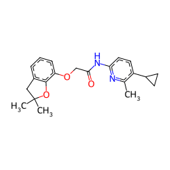 Cc1nc(NC(=O)COc2cccc3c2OC(C)(C)C3)ccc1C1CC1